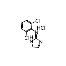 Cl.Clc1cccc(Cl)c1N=C1N=CCN1